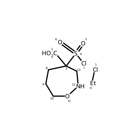 CCCl.O=C(O)C1(S(=O)(=O)Cl)CCCONC1